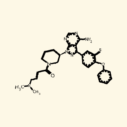 CN(C)C/C=C/C(=O)N1CCC[C@@H](n2nc(-c3ccc(Oc4ccccc4)c(F)c3)c3c(N)ncnc32)C1